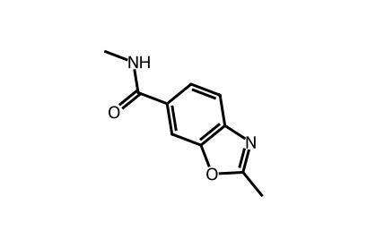 CNC(=O)c1ccc2nc(C)oc2c1